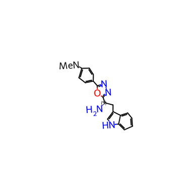 CNc1ccc(-c2nnc([C@@H](N)Cc3c[nH]c4ccccc34)o2)cc1